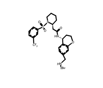 CC(C)(C)NCc1ccc2c(c1)OCC[C@H]2NC(=O)C[C@@H]1CCCCN1S(=O)(=O)c1cccc(C(F)(F)F)c1